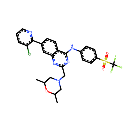 CC1CN(Cc2nc(Nc3ccc(S(=O)(=O)C(F)(F)F)cc3)c3ccc(-c4ncccc4Cl)cc3n2)CC(C)O1